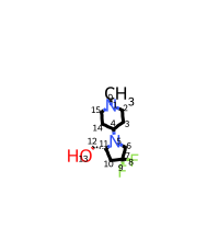 CN1CCC(N2CC(F)(F)C[C@@H]2CO)CC1